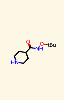 CC(C)(C)ONC(=O)C1CCNCC1